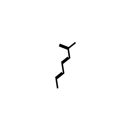 C=C(C)/C=C/C=C/C